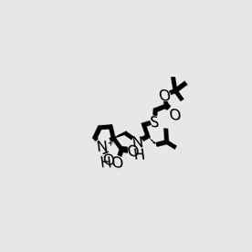 CC(C)C[C@@H](CSCC(=O)OC(C)(C)C)NC[C@]1(C(=O)O)CCC[N+]1=O